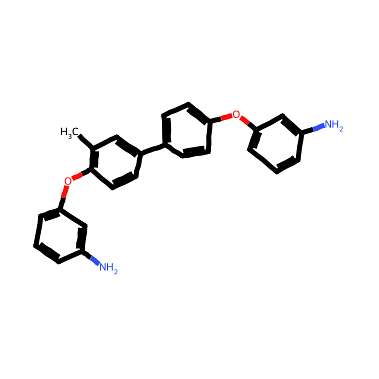 Cc1cc(-c2ccc(Oc3cccc(N)c3)cc2)ccc1Oc1cccc(N)c1